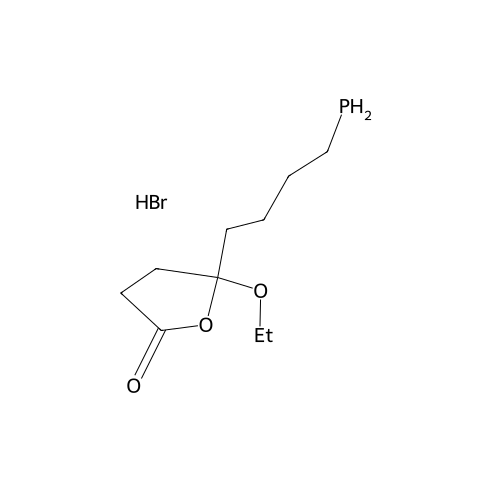 Br.CCOC1(CCCCP)CCC(=O)O1